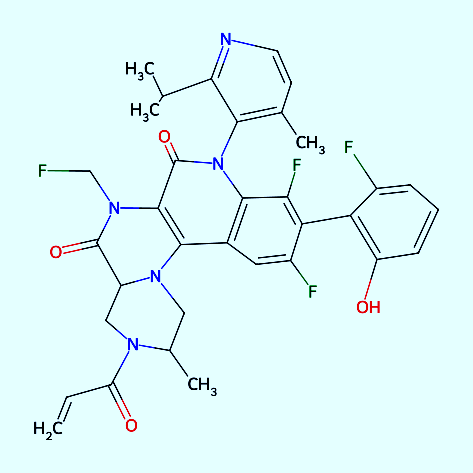 C=CC(=O)N1CC2C(=O)N(CF)c3c(c4cc(F)c(-c5c(O)cccc5F)c(F)c4n(-c4c(C)ccnc4C(C)C)c3=O)N2CC1C